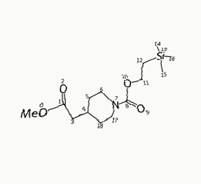 COC(=O)CC1CCN(C(=O)OCC[Si](C)(C)C)CC1